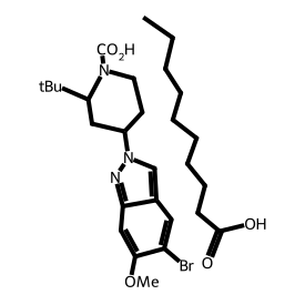 CCCCCCCCCC(=O)O.COc1cc2nn(C3CCN(C(=O)O)C(C(C)(C)C)C3)cc2cc1Br